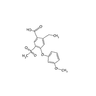 CCc1cc(Oc2cccc(OC)c2)c(S(C)(=O)=O)cc1C(=O)O